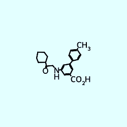 Cc1ccc(-c2cc(NCC(=O)C3CCCCC3)cc(C(=O)O)c2)cc1